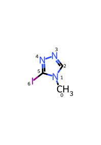 Cn1cnnc1I